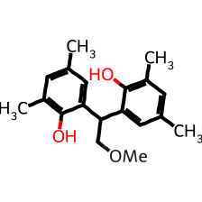 COCC(c1cc(C)cc(C)c1O)c1cc(C)cc(C)c1O